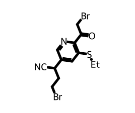 CCSc1cc(C(C#N)CCBr)cnc1C(=O)CBr